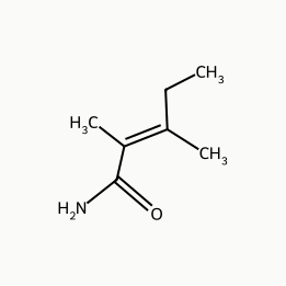 CC/C(C)=C(\C)C(N)=O